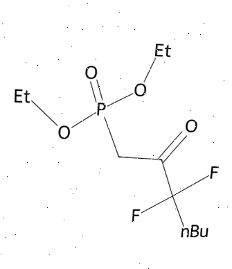 CCCCC(F)(F)C(=O)CP(=O)(OCC)OCC